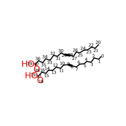 CCCCCCCCC#CCCCCCCCC(=O)O.CCCCCCCCC#CCCCCCCCC(=O)O